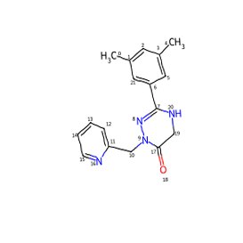 Cc1cc(C)cc(C2=NN(Cc3ccccn3)C(=O)CN2)c1